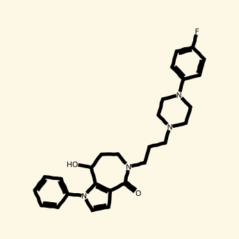 O=C1c2ccn(-c3ccccc3)c2C(O)CCN1CCCN1CCN(c2ccc(F)cc2)CC1